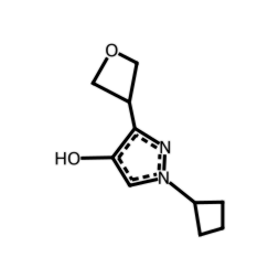 Oc1cn(C2CCC2)nc1C1COC1